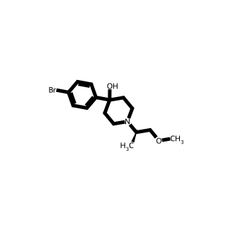 COC[C@@H](C)N1CCC(O)(c2ccc(Br)cc2)CC1